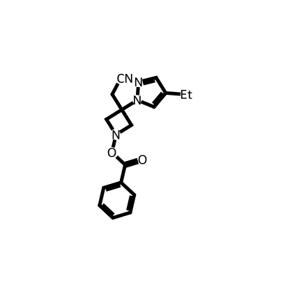 CCc1cnn(C2(CC#N)CN(OC(=O)c3ccccc3)C2)c1